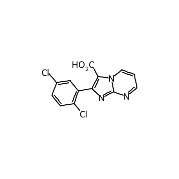 O=C(O)c1c(-c2cc(Cl)ccc2Cl)nc2ncccn12